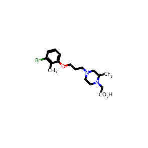 Cc1c(Br)cccc1OCCCN1CCN(CC(=O)O)C(C(F)(F)F)C1